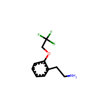 NCCc1ccccc1OCC(F)(F)F